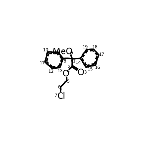 COC(C(=O)OCCCl)(c1ccccc1)c1ccccc1